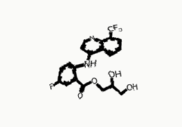 O=C(OCC(O)CO)c1cc(F)ccc1Nc1ccnc2c(C(F)(F)F)cccc12